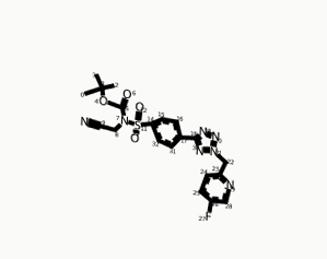 CC(C)(C)OC(=O)N(CC#N)S(=O)(=O)c1ccc(-c2nnn(Cc3ccc(F)cn3)n2)cc1